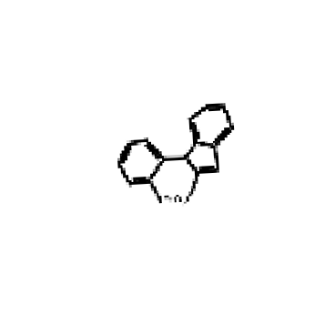 CCOC(=O)C1=Cc2ccccc2C1c1ccccc1C